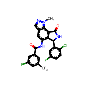 Cn1ncc2cc(NC(=O)c3cc(F)cc(C(F)(F)F)c3)c3c(c21)C(=O)NC3c1cc(F)ccc1Cl